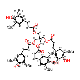 CC(C)(C)C1=CC(CCC(=O)OCC(COC(=O)CCc2cc(C(C)(C)C)c(O)c(C(C)(C)C)c2)(COC(=O)CCc2cc(C(C)(C)C)c(O)c(C(C)(C)C)c2)COC(=O)CCc2cc(C(C)(C)C)c(O)c(C(C)(C)C)c2)CC(C(C)(C)C)=C1O